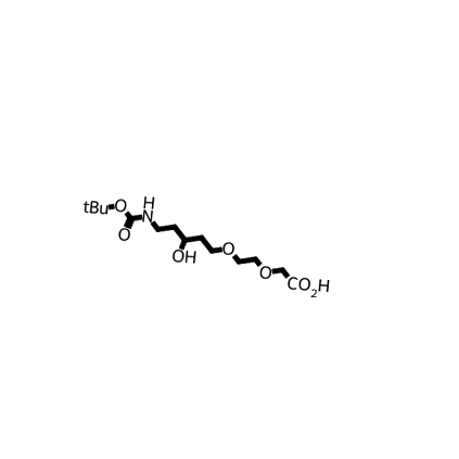 CC(C)(C)OC(=O)NCCC(O)CCOCCOCC(=O)O